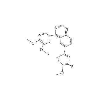 COc1ccc(-c2ccc3ncnc(-c4ccc(OC)c(OC)c4)c3c2)cc1F